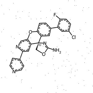 NC1=N[C@@]2(CO1)c1cc(-c3cc(Cl)ccc3F)ccc1Oc1cnc(-c3ccncc3)cc12